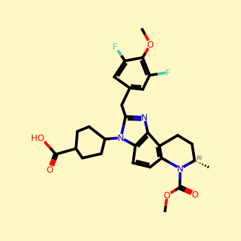 COC(=O)N1c2ccc3c(nc(Cc4cc(F)c(OC)c(F)c4)n3C3CCC(C(=O)O)CC3)c2CC[C@@H]1C